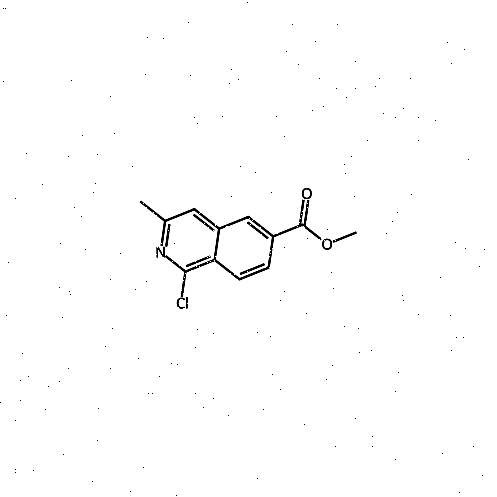 COC(=O)c1ccc2c(Cl)nc(C)cc2c1